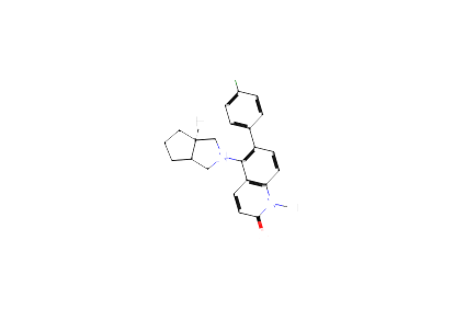 CCn1c(=O)ccc2c(N3C[C@H]4CCC[C@@H]4C3)c(-c3ccc(F)cc3)ccc21